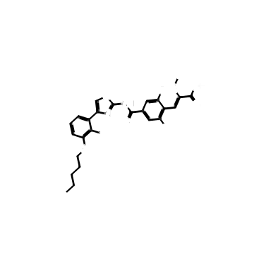 CCCCCOc1cccc(-c2csc(NC(=O)c3cc(F)c(C=C(OC)C(=O)O)c(F)c3)n2)c1F